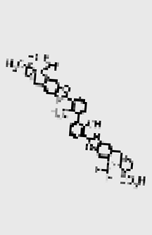 Cc1c(-c2nc3cc(CN4CC[C@@H](C(=O)O)C4)c(OC(F)F)cc3o2)cccc1-c1cccc(-c2nc3cc(CN4CC(C)(C)C4)c(OC(F)F)cc3o2)c1C